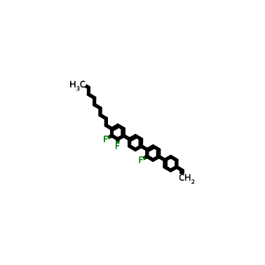 C=CC1CC=C(C2=CC=C(C3=CC=C(C4=CC=C(CCCCCCCCC)C(F)C4F)CC3)C(F)C2)CC1